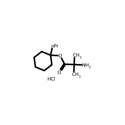 CCCC1(OC(=O)C(C)(C)N)CCCCC1.Cl